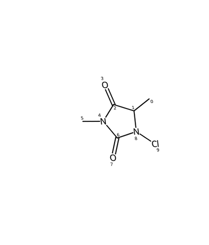 CC1C(=O)N(C)C(=O)N1Cl